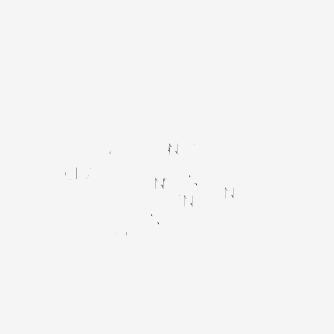 O=c1nc2n(Cc3ccccn3)nc(N3CCCCCC3)n2c2ccc(Cl)cc12